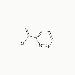 O=C(Cl)c1cccnn1